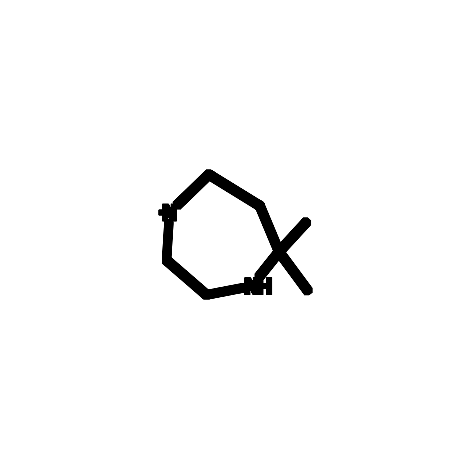 CC1(C)CC[N]CCN1